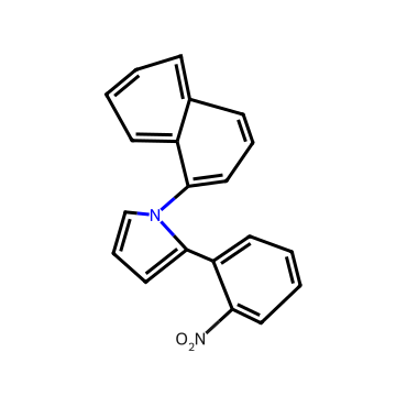 O=[N+]([O-])c1ccccc1-c1cccn1-c1cccc2ccccc12